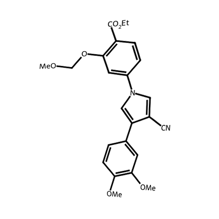 CCOC(=O)c1ccc(-n2cc(C#N)c(-c3ccc(OC)c(OC)c3)c2)cc1OCOC